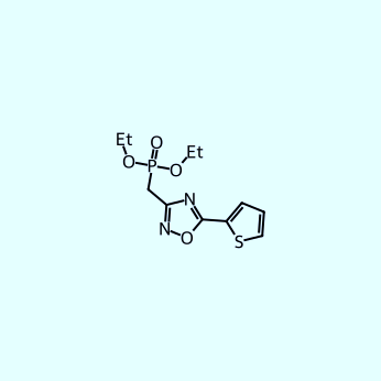 CCOP(=O)(Cc1noc(-c2cccs2)n1)OCC